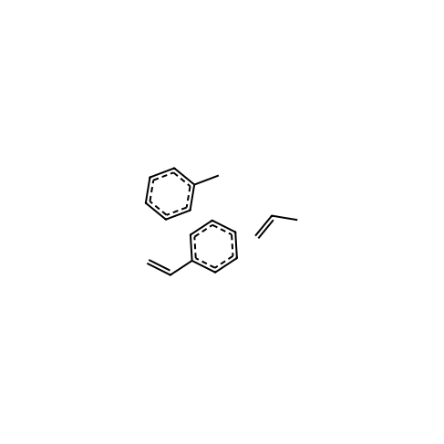 C=CC.C=Cc1ccccc1.Cc1ccccc1